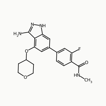 CNC(=O)c1ccc(-c2cc(OC3CCOCC3)c3c(N)n[nH]c3c2)cc1F